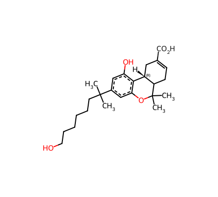 CC(C)(CCCCCCO)c1cc(O)c2c(c1)OC(C)(C)C1CC=C(C(=O)O)C[C@@H]21